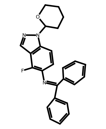 Fc1c(N=C(c2ccccc2)c2ccccc2)ccc2c1cnn2C1CCCCO1